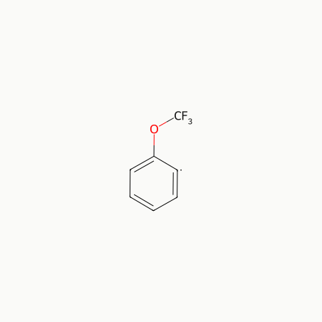 FC(F)(F)Oc1[c]cccc1